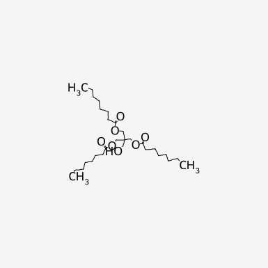 CCCCCCCC(=O)OCC(CO)(COC(=O)CCCCCCC)COC(=O)CCCCCCC